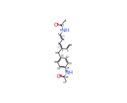 C=C/C(=C\C=C\NC(C)=O)Cc1ccc(NC(C)=O)cc1